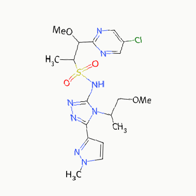 COCC(C)n1c(NS(=O)(=O)C(C)C(OC)c2ncc(Cl)cn2)nnc1-c1ccn(C)n1